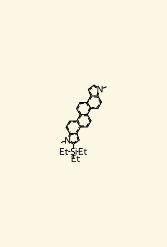 CC[Si](CC)(CC)c1cc2c3ccc4c(ccc5c4ccc4c5ccn4C)c3ccc2n1C